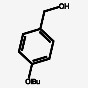 C[C](C)COc1ccc(CO)cc1